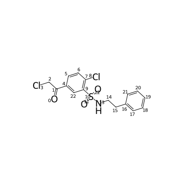 O=C(CCl)c1ccc(Cl)c(S(=O)(=O)NCCc2ccccc2)c1